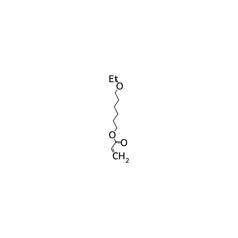 C=CC(=O)OCCCCCCOCC